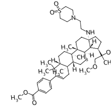 COCC(C)(O)[C@@H]1CC[C@]2(NCCN3CCS(=O)(=O)CC3)CC[C@]3(C)[C@H](CC[C@@H]4[C@@]5(C)CC=C(c6ccc(C(=O)OC)cc6)C(C)(C)[C@@H]5CC[C@]43C)[C@@H]12